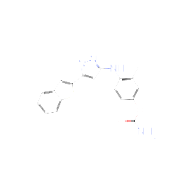 Cc1cc(OC(N)=O)ccc1Nc1cc(-c2cc3ccccc3s2)[nH]n1